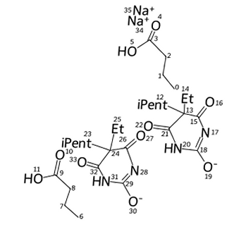 CCCC(=O)O.CCCC(=O)O.CCCC(C)C1(CC)C(=O)N=C([O-])NC1=O.CCCC(C)C1(CC)C(=O)N=C([O-])NC1=O.[Na+].[Na+]